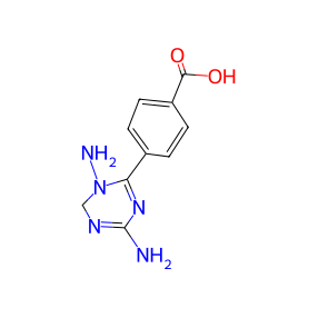 NC1=NCN(N)C(c2ccc(C(=O)O)cc2)=N1